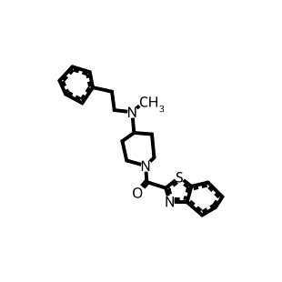 CN(CCc1ccccc1)C1CCN(C(=O)c2nc3ccccc3s2)CC1